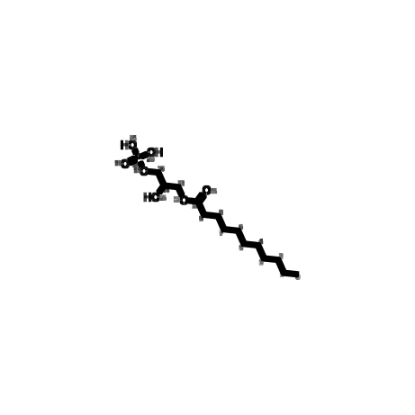 CCCCCCCCCCC(=O)OCC(O)COP(=O)(O)O